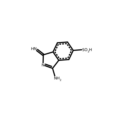 N=C1N=C(N)c2cc(S(=O)(=O)O)ccc21